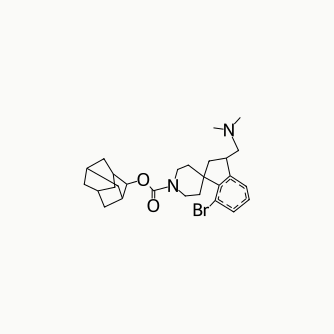 CN(C)CC1CC2(CCN(C(=O)OC3C4CC5CC(C4)CC3C5)CC2)c2c(Br)cccc21